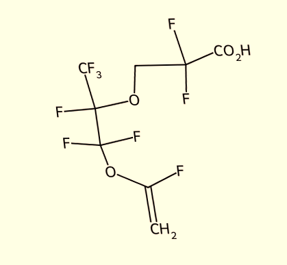 C=C(F)OC(F)(F)C(F)(OCC(F)(F)C(=O)O)C(F)(F)F